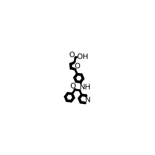 O=C(O)c1ccc(-c2ccc(NC(C(=O)c3ccccc3)c3cccnc3)cc2)o1